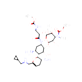 CN(C(=O)OC(C)(C)C)[C@@H]1[C@@H](O)[C@@H](O[C@H]2[C@H](NC(=O)[C@@H](O)CNC(=O)OC(C)(C)C)C[C@H](N)C([C@H]3OC(CNCC4CC4)=CC[C@H]3N)[C@@H]2O)OC[C@]1(C)O